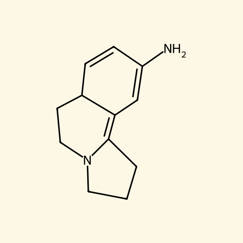 NC1=CC2=C3CCCN3CCC2C=C1